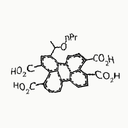 CCCOC(C)c1cc(C(=O)O)c2c(C(=O)O)ccc3c4ccc(C(=O)O)c5c(C(=O)O)ccc(c1c23)c54